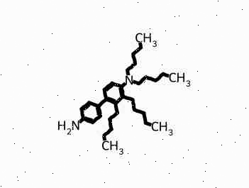 CCCCCc1c(-c2ccc(N)cc2)ccc(N(CCCCC)CCCCC)c1CCCCC